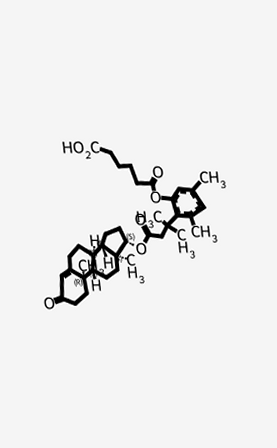 Cc1cc(C)c(C(C)(C)CC(=O)O[C@H]2CC[C@H]3[C@@H]4CCC5=CC(=O)CC[C@]5(C)[C@H]4CC[C@]23C)c(OC(=O)CCCCC(=O)O)c1